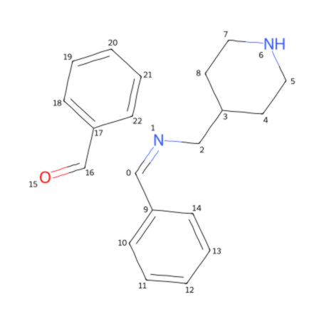 C(=N/CC1CCNCC1)/c1ccccc1.O=Cc1ccccc1